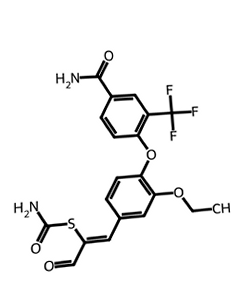 CCOc1cc(/C=C(/C=O)SC(N)=O)ccc1Oc1ccc(C(N)=O)cc1C(F)(F)F